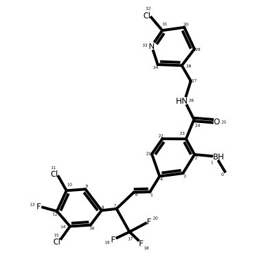 CBc1cc(/C=C/C(c2cc(Cl)c(F)c(Cl)c2)C(F)(F)F)ccc1C(=O)NCc1ccc(Cl)nc1